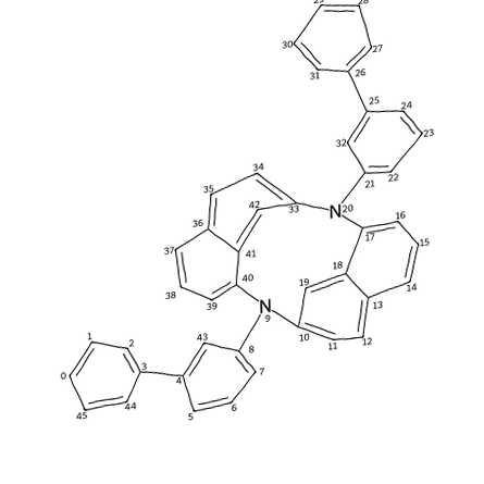 c1ccc(-c2cccc(-n3c4ccc5cccc(c5c4)n(-c4cccc(-c5ccccc5)c4)c4ccc5cccc3c5c4)c2)cc1